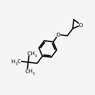 CC(C)(C)Cc1ccc(OCC2CO2)cc1